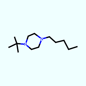 CCCCCN1CCN(C(C)(C)C)CC1